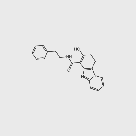 O=C(NCCc1ccccc1)C1=C(O)CCc2c1nc1ccccn21